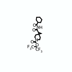 O=C(NC(=O)C1CC12CCN(C(=O)OC(C(F)(F)F)C(F)(F)F)CC2)C1CCCCC1